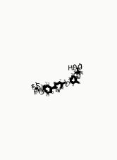 Cc1cc(OCc2ccc(-c3ccc(OC(F)(F)F)cc3)nc2)ccc1OC(C)(C)C(=O)O